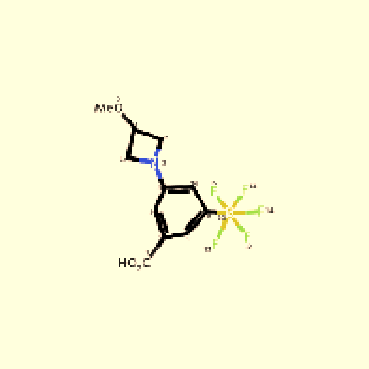 COC1CN(c2cc(C(=O)O)cc(S(F)(F)(F)(F)F)c2)C1